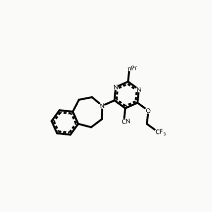 CCCc1nc(OCC(F)(F)F)c(C#N)c(N2CCc3ccccc3CC2)n1